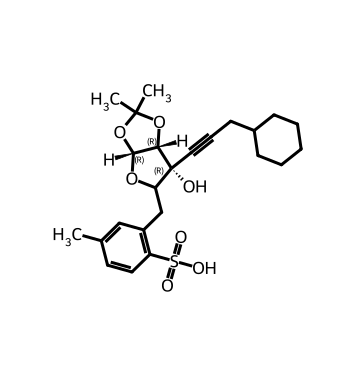 Cc1ccc(S(=O)(=O)O)c(CC2O[C@@H]3OC(C)(C)O[C@@H]3[C@@]2(O)C#CCC2CCCCC2)c1